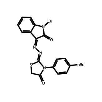 CCCCc1ccc(N2C(=O)CSC2=NN=C2C(=O)N(Br)c3ccccc32)cc1